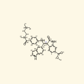 COC(=O)c1ccc2c(c1)NC(=O)/C2=C(\Nc1ccc(C(=O)N(C)CCN(C)C)cc1)c1ccc2[nH]ccc2c1